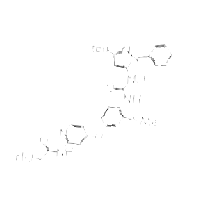 CSc1cc(Oc2ccnc(NC(=O)CO)c2)ccc1NC(=O)Nc1cc(C(C)(C)C)nn1-c1ccccc1